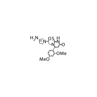 COc1ccc(-c2cc(=O)[nH]c(=S)n2CC(=O)N2CC[C@H](N)C2)c(OC)c1